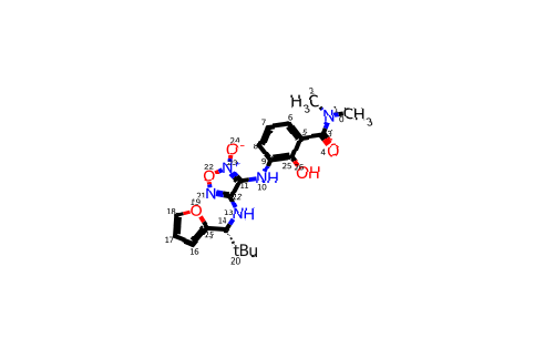 CN(C)C(=O)c1cccc(Nc2c(N[C@@H](c3ccco3)C(C)(C)C)no[n+]2[O-])c1O